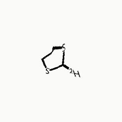 [2H]C1SCCS1